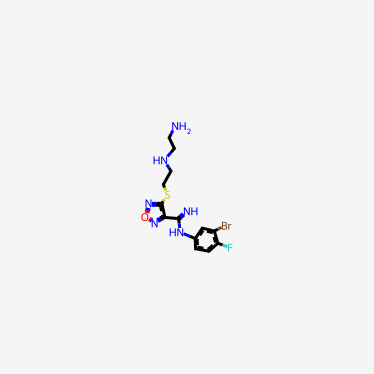 N=C(Nc1ccc(F)c(Br)c1)c1nonc1SCCNCCN